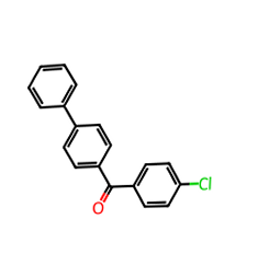 O=C(c1ccc(Cl)cc1)c1ccc(-c2ccccc2)cc1